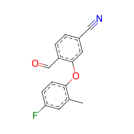 Cc1cc(F)ccc1Oc1cc(C#N)ccc1C=O